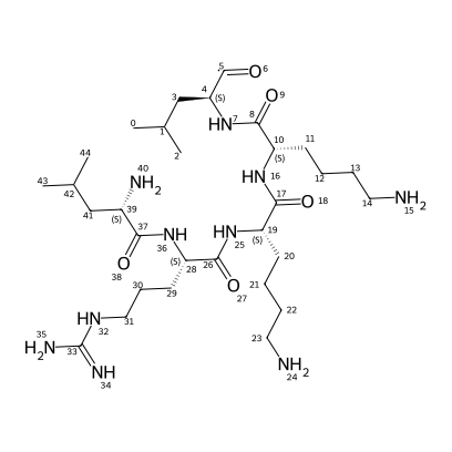 CC(C)C[C@@H]([C]=O)NC(=O)[C@H](CCCCN)NC(=O)[C@H](CCCCN)NC(=O)[C@H](CCCNC(=N)N)NC(=O)[C@@H](N)CC(C)C